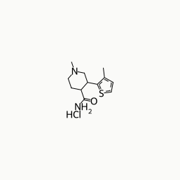 Cc1ccsc1C1CN(C)CCC1C(N)=O.Cl